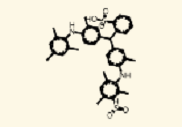 Cc1cc(C)c(Nc2ccc(C(c3ccc(Nc4c(C)cc(C)c([SH](=O)=O)c4C)c(C)c3)c3ccccc3S(=O)(=O)O)cc2C)c(C)c1